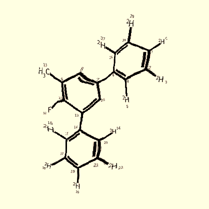 [2H]c1c([2H])c([2H])c(-c2cc(C)c(F)c(-c3c([2H])c([2H])c([2H])c([2H])c3[2H])c2)c([2H])c1[2H]